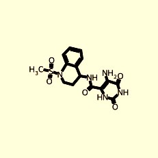 CS(=O)(=O)N1CCC(NC(=O)c2[nH]c(=O)[nH]c(=O)c2N)c2ccccc21